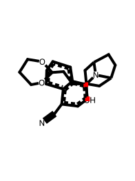 N#Cc1ccc(N2C3CCC2CC(O)(CCC2OCCCO2)C3)c2ccccc12